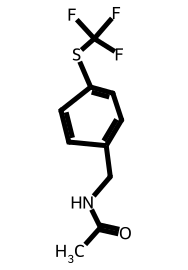 CC(=O)NCc1ccc(SC(F)(F)F)cc1